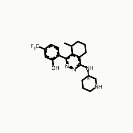 CC1CCCc2c(N[C@@H]3CCCNC3)nnc(-c3ccc(C(F)(F)F)cc3O)c21